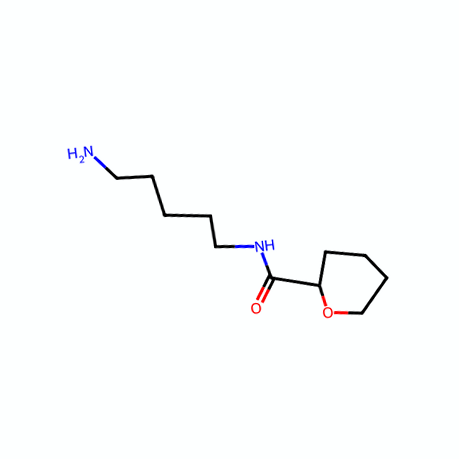 NCCCCCNC(=O)C1CCCCO1